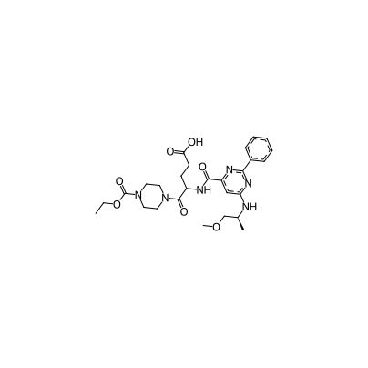 CCOC(=O)N1CCN(C(=O)C(CCC(=O)O)NC(=O)c2cc(N[C@@H](C)COC)nc(-c3ccccc3)n2)CC1